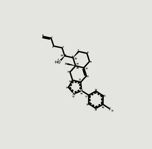 C=CCC[C@H](O)[C@H]1CCCC2=Cc3c(cnn3-c3ccc(F)cc3)C[C@@]21C